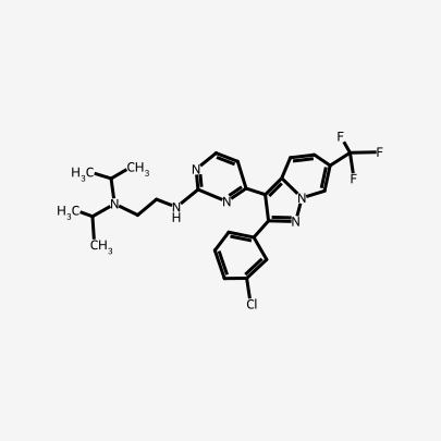 CC(C)N(CCNc1nccc(-c2c(-c3cccc(Cl)c3)nn3cc(C(F)(F)F)ccc23)n1)C(C)C